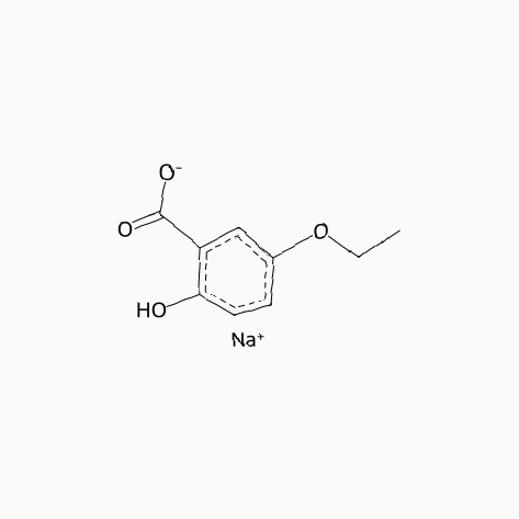 CCOc1ccc(O)c(C(=O)[O-])c1.[Na+]